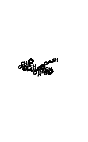 CC(=O)N1CCN(CC(CNC(=O)c2cc3cc(OCCCS)cc(NS(=O)(=O)c4ccccn4)c3[nH]2)SCc2ccccc2)CC1